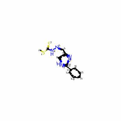 CSC(=S)N/N=C\c1c[nH]c(-c2ccccc2)n1